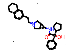 O=C(NC1C2CN(CCc3ccc4c(c3)CCCC4)CC21)C(O)(c1ccccc1)C1CCCC1